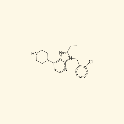 CCc1nc2c(N3CCNCC3)ccnc2n1Cc1ccccc1Cl